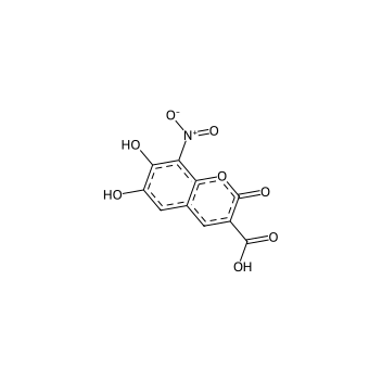 O=C(O)c1cc2cc(O)c(O)c([N+](=O)[O-])c2oc1=O